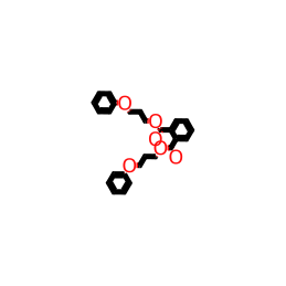 O=C(OCCCOc1ccccc1)c1ccccc1C(=O)OCCCOc1ccccc1